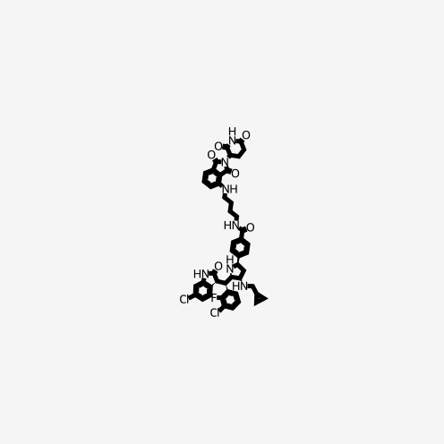 O=C1CCC(N2C(=O)c3cccc(NCCCCNC(=O)c4ccc([C@H]5C[C@H](NCC6CC6)[C@H]([C@H](c6cccc(Cl)c6F)[C@H]6C(=O)Nc7cc(Cl)ccc76)N5)cc4)c3C2=O)C(=O)N1